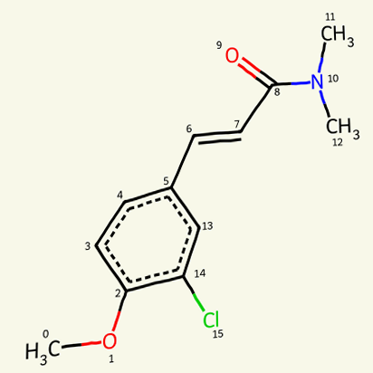 COc1ccc(C=CC(=O)N(C)C)cc1Cl